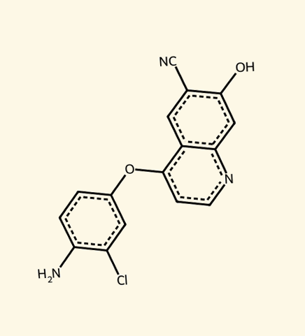 N#Cc1cc2c(Oc3ccc(N)c(Cl)c3)ccnc2cc1O